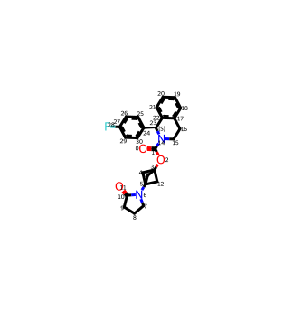 O=C(OC12CC(N3CCCC3=O)(C1)C2)N1CCc2ccccc2[C@@H]1c1ccc(F)cc1